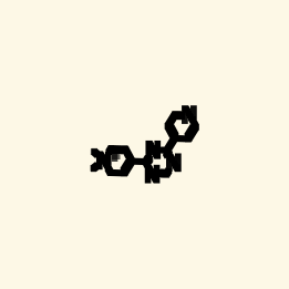 C[N+]1(C)C=CC(c2ncnc(-c3ccncc3)n2)=CC1